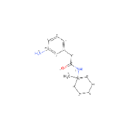 CC1(NC(=O)Cc2cccc(N)c2)CCCCC1